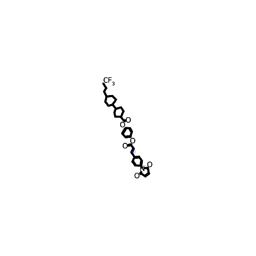 O=C(/C=C/c1ccc(N2C(=O)C=CC2=O)cc1)Oc1ccc(OC(=O)C2CCC(C3CCC(CCCC(F)(F)F)CC3)CC2)cc1